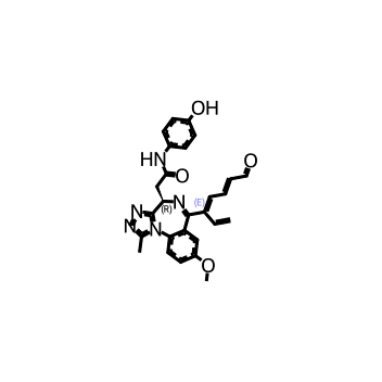 C=C/C(=C\C=CC=O)C1=N[C@H](CC(=O)Nc2ccc(O)cc2)c2nnc(C)n2-c2ccc(OC)cc21